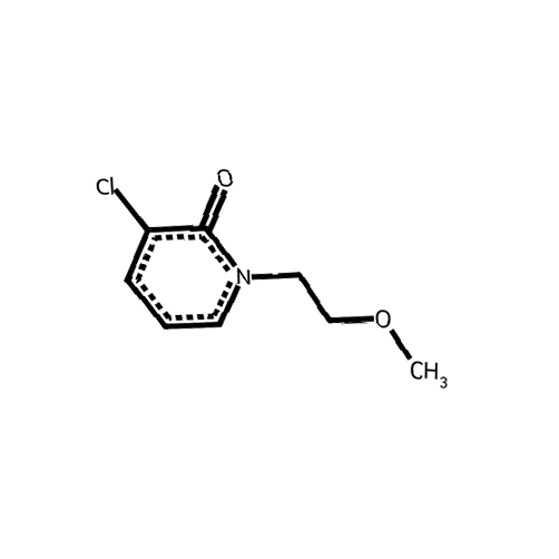 COCCn1cccc(Cl)c1=O